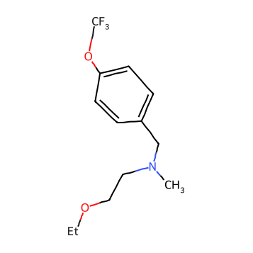 CCOCCN(C)Cc1ccc(OC(F)(F)F)cc1